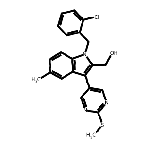 CSc1ncc(-c2c(CO)n(Cc3ccccc3Cl)c3ccc(C)cc23)cn1